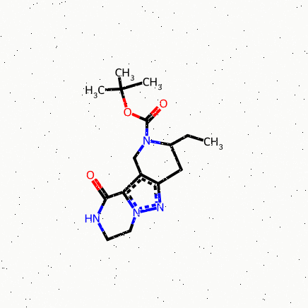 CCC1Cc2nn3c(c2CN1C(=O)OC(C)(C)C)C(=O)NCC3